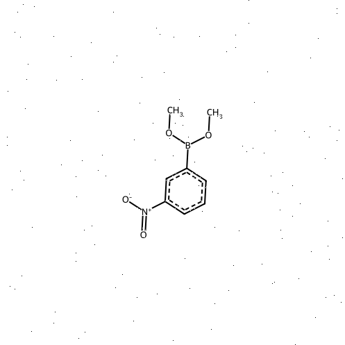 COB(OC)c1cccc([N+](=O)[O-])c1